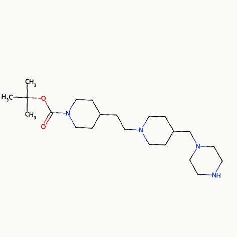 CC(C)(C)OC(=O)N1CCC(CCN2CCC(CN3CCNCC3)CC2)CC1